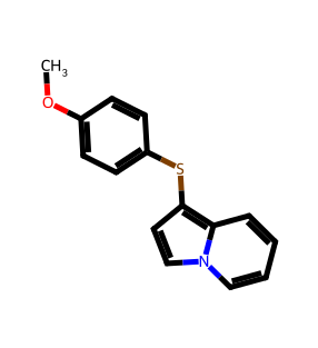 COc1ccc(Sc2ccn3ccccc23)cc1